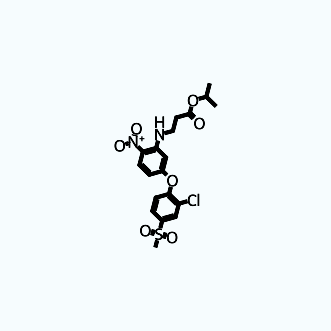 CC(C)OC(=O)CCNc1cc(Oc2ccc(S(C)(=O)=O)cc2Cl)ccc1[N+](=O)[O-]